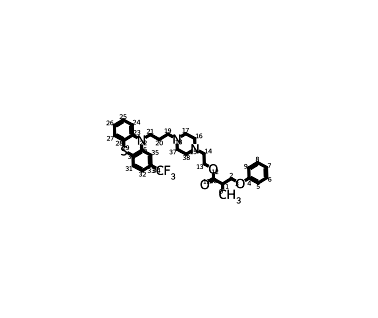 CC(COc1ccccc1)C(=O)OCCN1CCN(CCCN2c3ccccc3Sc3ccc(C(F)(F)F)cc32)CC1